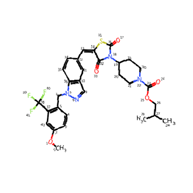 COc1ccc(Cn2ncc3cc(C=C4SC(=O)N(C5CCN(C(=O)OCC(C)C)CC5)C4=O)ccc32)c(C(F)(F)F)c1